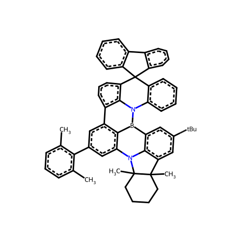 Cc1cccc(C)c1-c1cc2c3c(c1)N1c4c(cc(C(C)(C)C)cc4C4(C)CCCCC14C)B3N1c3ccccc3C3(c4ccccc4-c4ccccc43)c3cccc-2c31